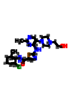 Cc1ncc(N2CCN(CCO)CC2)c(Nc2ncc(C(=O)Nc3c(C)cccc3Cl)s2)n1